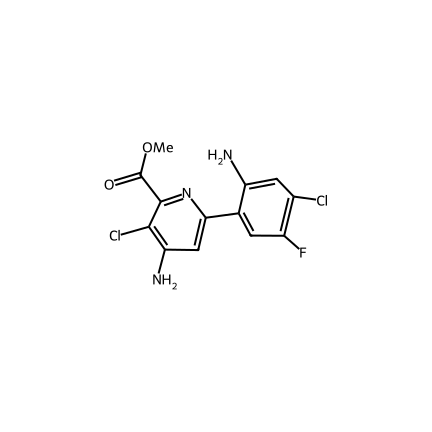 COC(=O)c1nc(-c2cc(F)c(Cl)cc2N)cc(N)c1Cl